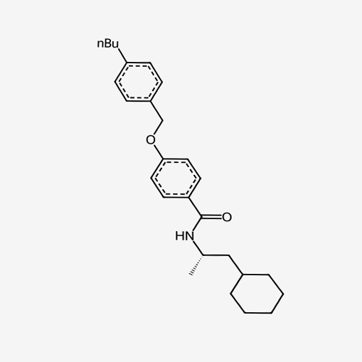 CCCCc1ccc(COc2ccc(C(=O)N[C@@H](C)CC3CCCCC3)cc2)cc1